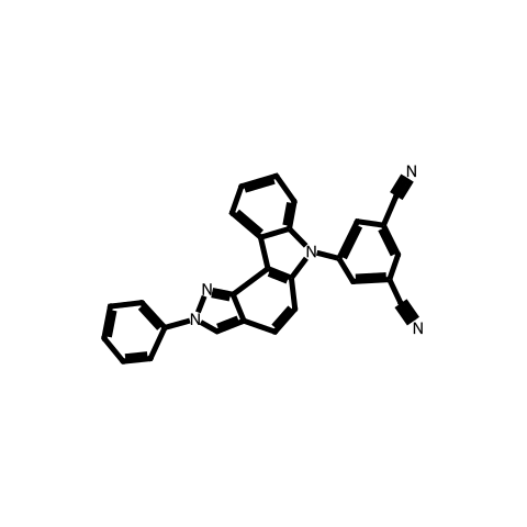 N#Cc1cc(C#N)cc(-n2c3ccccc3c3c4nn(-c5ccccc5)cc4ccc32)c1